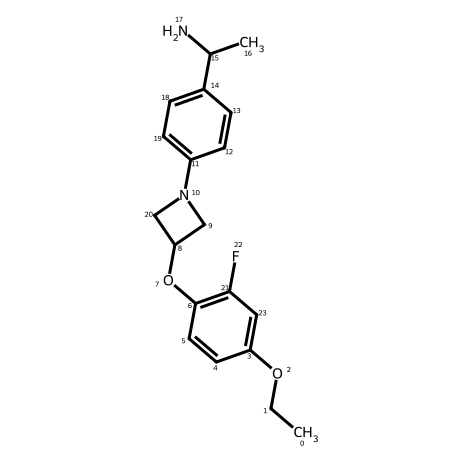 CCOc1ccc(OC2CN(c3ccc(C(C)N)cc3)C2)c(F)c1